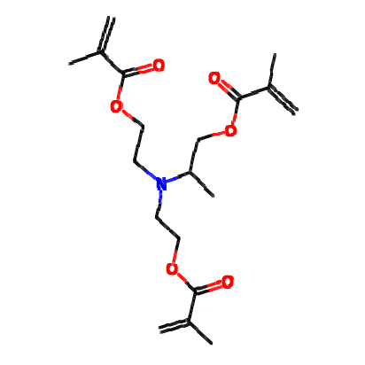 C=C(C)C(=O)OCCN(CCOC(=O)C(=C)C)C(C)COC(=O)C(=C)C